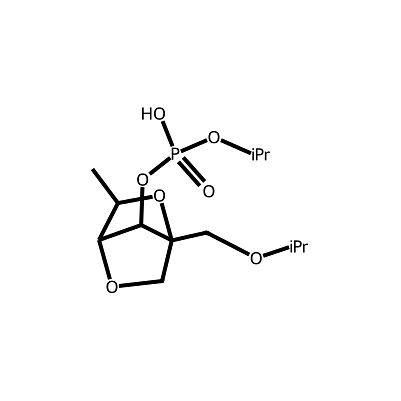 CC(C)OCC12COC(C(C)O1)C2OP(=O)(O)OC(C)C